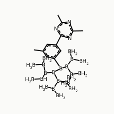 BBB(B(B)B)B(B(B(B)B)B(B)B)B(B(B(B)B)B(B)B)c1cc(C)cc(-c2nc(C)nc(C)n2)c1